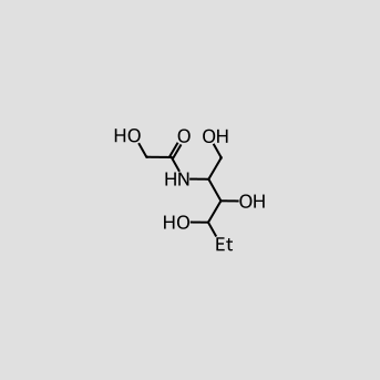 CCC(O)C(O)C(CO)NC(=O)CO